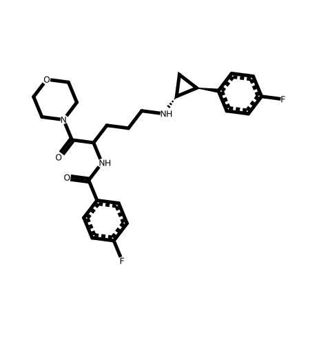 O=C(NC(CCCN[C@@H]1C[C@H]1c1ccc(F)cc1)C(=O)N1CCOCC1)c1ccc(F)cc1